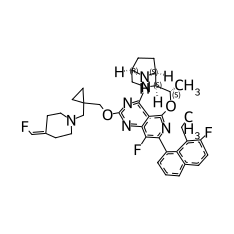 CCc1c(F)ccc2cccc(-c3nc4c5c(nc(OCC6(CN7CCC(=CF)CC7)CC6)nc5c3F)N3C[C@H]5CC[C@H](N5)[C@H]3[C@H](C)O4)c12